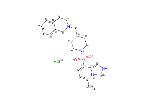 CC1=CC=C(S(=O)(=O)N2CCC(CN3CCc4ccccc4C3)CC2)C2=CNSN12.Cl